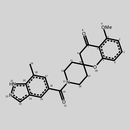 COc1cccc2c1C(=O)CC1(CCN(C(=O)c3cc(C)c4[nH]ncc4c3)CC1)O2